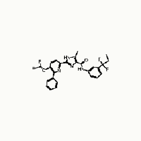 CCC(F)(F)c1cccc(NC(=O)c2nc(-c3ccc(OC(F)F)c(-c4ccccc4)n3)[nH]c2C)c1